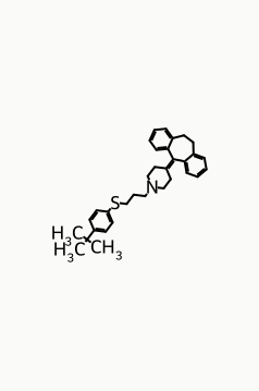 CC(C)(C)c1ccc(SCCCN2CCC(=C3c4ccccc4CCc4ccccc43)CC2)cc1